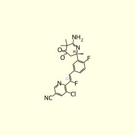 CC1(C)C(N)=N[C@](C)(c2cc(/C=C(\F)c3ncc(C#N)cc3Cl)ccc2F)CS1(=O)=O